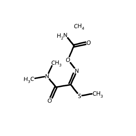 C.CSC(=NOC(N)=O)C(=O)N(C)C